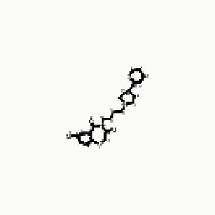 O=C1c2cc(Cl)ccc2OC=C(Cl)N1CCCCN1CCC(c2ccccn2)CC1